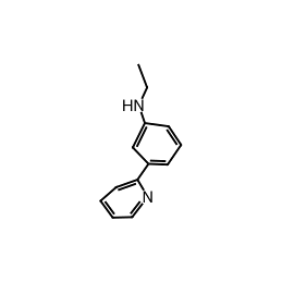 CCNc1cccc(-c2ccccn2)c1